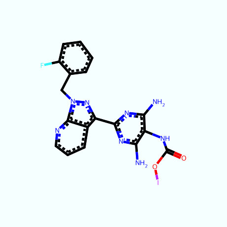 Nc1nc(-c2nn(Cc3ccccc3F)c3ncccc23)nc(N)c1NC(=O)OI